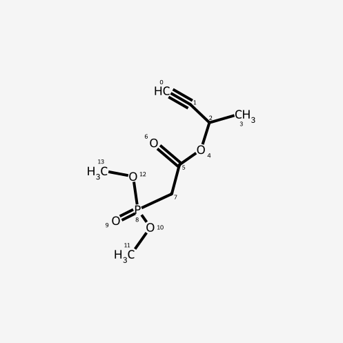 C#CC(C)OC(=O)CP(=O)(OC)OC